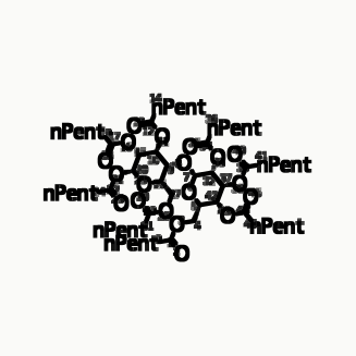 CCCCCC(=O)OC[C@H]1O[C@@H](O[C@H]2[C@H](OC(=O)CCCCC)[C@@H](OC(=O)CCCCC)[C@H](OC(=O)CCCCC)O[C@@H]2COC(=O)CCCCC)[C@H](OC(=O)CCCCC)[C@@H](OC(=O)CCCCC)[C@H]1OC(=O)CCCCC